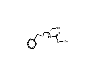 CC(C)(C)OC(=O)N[C@@H](CO)COCc1ccccc1